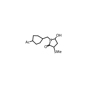 CSC1CC(O)N(CC2CCC(C(C)=O)CC2)C1=O